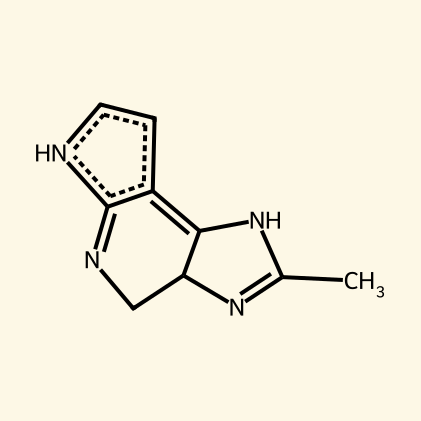 CC1=NC2CN=c3[nH]ccc3=C2N1